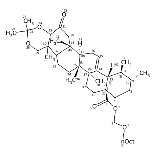 CCCCCCCCOCOC(=O)[C@]12CC[C@@H](C)[C@H](C)[C@H]1C1=CC[C@@H]3[C@@]4(C)CC(=O)C5OC(C)(C)OCC5(C)C4CC[C@@]3(C)[C@]1(C)CC2